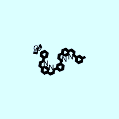 CCP(=O)(CC)c1cccc(-c2ccc3ccc4ccc(-c5cccc(-c6ccc7ccc8ccc(-c9cccc(C)c9)nc8c7n6)c5)nc4c3n2)c1